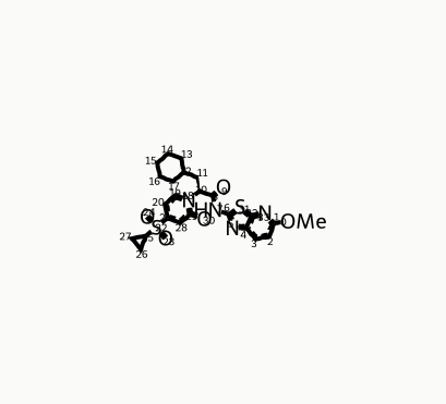 COc1ccc2nc(NC(=O)[C@H](CC3CCCCC3)n3ccc(S(=O)(=O)C4CC4)cc3=O)sc2n1